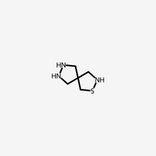 C1NNCC12CNSC2